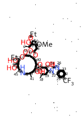 CCOC[C@]1(O)[C@H](C)O[C@@H](O[C@H]2[C@H](C)[C@@H](O[C@@H]3O[C@H](C)C[C@H](N(C)C(=O)N(C)c4ccc(C(F)(F)F)cc4)[C@H]3O)[C@](C)(O)C[C@@H](C)CN[C@H](C)[C@@H](O)[C@](C)(O)[C@@H](CC)OC(=O)[C@@H]2C)C[C@@]1(C)OC